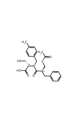 CC(=O)SC[C@@H](Cc1ccccc1)C(=O)N(Cc1ccc(C)cc1)[C@@H](CS)C(=O)O